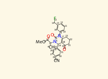 COC(=O)C(C)N1C(=O)N(c2cccc(CF)c2)C2=C(C(=O)CCC2)C1c1ccc(C#N)cc1